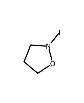 IN1CCCO1